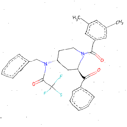 Cc1cc(C)cc(C(=O)N2CC[C@@H](N(Cc3ccccc3)C(=O)C(F)(F)F)C[C@@H]2C(=O)c2ccccc2)c1